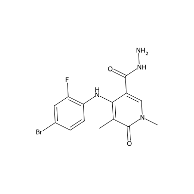 Cc1c(Nc2ccc(Br)cc2F)c(C(=O)NN)cn(C)c1=O